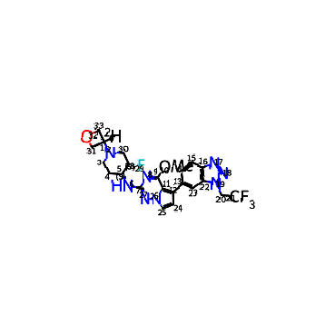 [2H]C1(N2CC[C@H](Nc3nc(OC)c4c(-c5ccc6nnn(CC(F)(F)F)c6c5)ccn4n3)[C@@H](F)C2)COC1